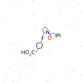 CC(C)CC(=O)N1CCCC1C#Cc1ccc(CC(=O)O)cc1